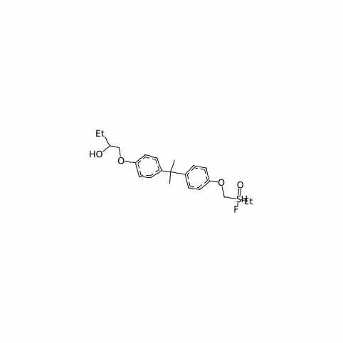 CCC(O)COc1ccc(C(C)(C)c2ccc(OC[SH](=O)(F)CC)cc2)cc1